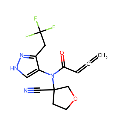 C=C=CC(=O)N(c1c[nH]nc1CC(F)(F)F)C1(C#N)CCOC1